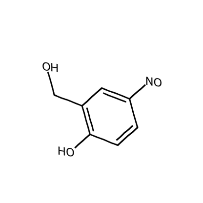 O=Nc1ccc(O)c(CO)c1